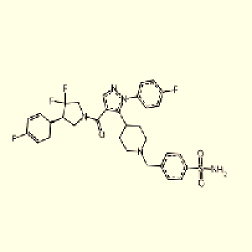 NS(=O)(=O)c1ccc(CN2CCC(c3c(C(=O)N4C[C@@H](C5C=CC(F)=CC5)C(F)(F)C4)cnn3-c3ccc(F)cc3)CC2)cc1